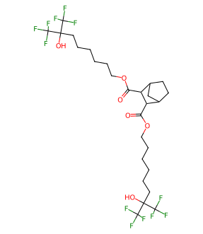 O=C(OCCCCCCC(O)(C(F)(F)F)C(F)(F)F)C1C2CCC(C2)C1C(=O)OCCCCCCC(O)(C(F)(F)F)C(F)(F)F